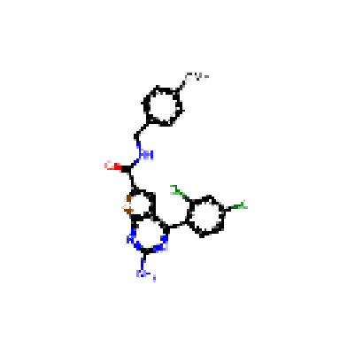 COc1ccc(CNC(=O)c2cc3c(-c4ccc(Cl)cc4Cl)nc(N)nc3s2)cc1